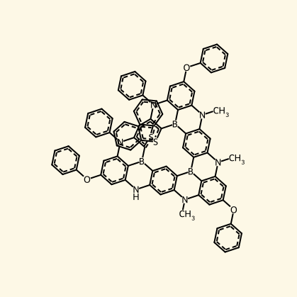 CN1c2cc3c(cc2B2c4cc5c(cc4N(C)c4cc(Oc6ccccc6)cc1c42)N(C)c1cc(Oc2ccccc2)cc2c1B5c1sc4ccccc4c1N2c1ccccc1)B1c2sc4ccccc4c2N(c2ccccc2)c2cc(Oc4ccccc4)cc(c21)N3